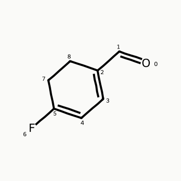 O=CC1=CC=C(F)CC1